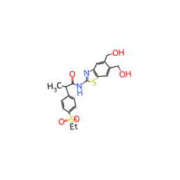 CCS(=O)(=O)c1ccc(C(C)C(=O)Nc2nc3cc(CO)c(CO)cc3s2)cc1